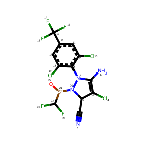 N#CC1C(Cl)=C(N)N(c2c(Cl)cc(C(F)(F)F)cc2Cl)N1[S+]([O-])C(F)F